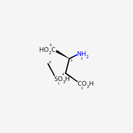 CS(=O)(=O)O.N[C@@H](CC(=O)O)C(=O)O